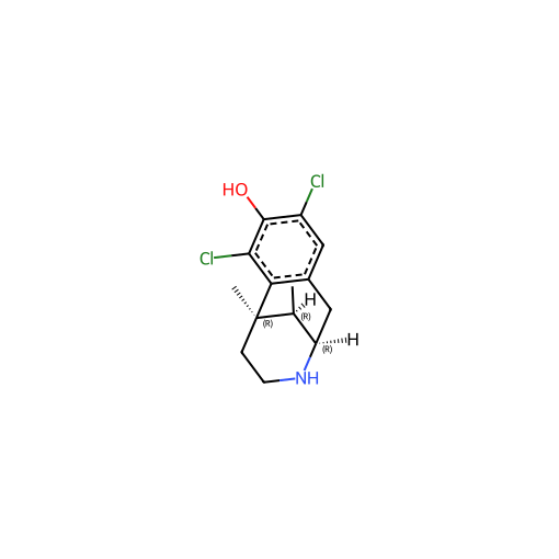 C[C@H]1[C@H]2Cc3cc(Cl)c(O)c(Cl)c3[C@]1(C)CCN2